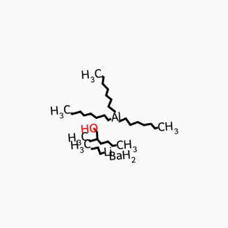 CCCCC(CC)CO.CCCCCCC[CH2][Al]([CH2]CCCCCCC)[CH2]CCCCCCC.[BaH2].[Li][CH2]CCC